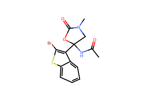 CC(=O)NC1(c2c(Br)sc3ccccc23)CN(C)C(=O)O1